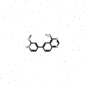 COC1C=C(c2ccc3ncnc(N)c3c2)C=CN1